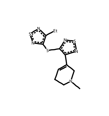 CCc1nsnc1Sc1nsnc1C1=CCCN(C)C1